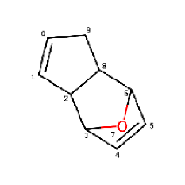 C1=CC2C3C=CC(O3)C2C1